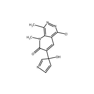 Cc1nnc(Cl)c2cc(C3(O)C=CN=C3)c(=O)n(C)c12